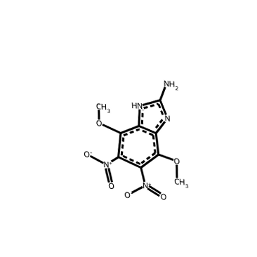 COc1c([N+](=O)[O-])c([N+](=O)[O-])c(OC)c2[nH]c(N)nc12